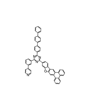 c1ccc(-c2ccc(-c3ccc(-c4nc(-c5cccc(-c6ccncc6)c5)nc(-c5ccc6c(c5)oc5cc7c8ccccc8c8ccccc8c7cc56)n4)cc3)cc2)cc1